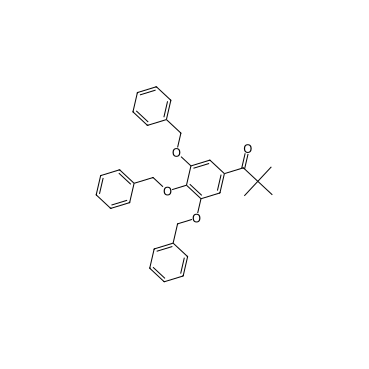 CC(C)(C)C(=O)c1cc(OCc2ccccc2)c(OCc2ccccc2)c(OCc2ccccc2)c1